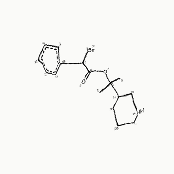 CC(C)(OC(=O)C(Br)c1ccccc1)C1CCCNC1